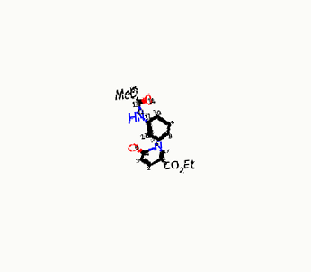 CCOC(=O)c1ccc(=O)n(-c2cccc(NC(=O)OC)c2)c1